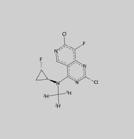 [2H]C([2H])([2H])N(c1nc(Cl)nc2c(F)c(Cl)ncc12)[C@H]1C[C@@H]1F